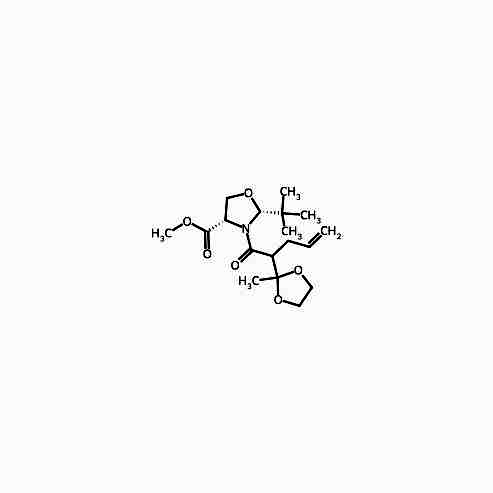 C=CCC(C(=O)N1[C@H](C(=O)OC)CO[C@@H]1C(C)(C)C)C1(C)OCCO1